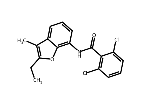 CCc1oc2c(NC(=O)c3c(Cl)cccc3Cl)cccc2c1C